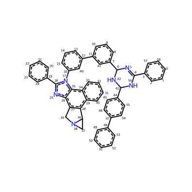 c1ccc(C2=NC(c3cccc(-c4cccc(-n5c(-c6ccccc6)nc6c7c(c8ccccc8c65)C5CN5C7)c4)c3)NC(c3ccc(-c4ccccc4)cc3)N2)cc1